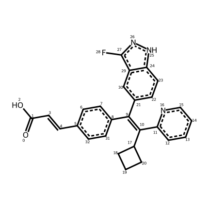 O=C(O)C=Cc1ccc(C(=C(c2ccccn2)C2CCC2)c2ccc3[nH]nc(F)c3c2)cc1